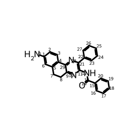 Nc1ccc2c(c1)CCc1nc(NC(=O)c3ccccc3)c(-c3ccccc3)nc1-2